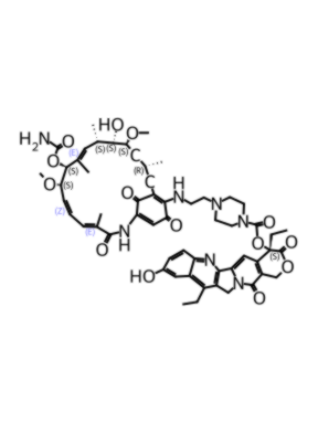 CCc1c2c(nc3ccc(O)cc13)-c1cc3c(c(=O)n1C2)COC(=O)[C@@]3(CC)OC(=O)N1CCN(CCNC2=C3C[C@@H](C)C[C@H](OC)[C@@H](O)[C@@H](C)/C=C(\C)[C@H](OC(N)=O)[C@@H](OC)/C=C\C=C(/C)C(=O)NC(=CC2=O)C3=O)CC1